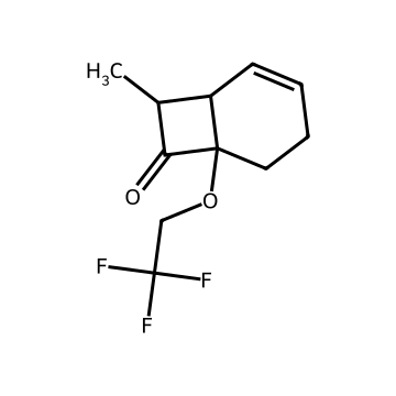 CC1C(=O)C2(OCC(F)(F)F)CCC=CC12